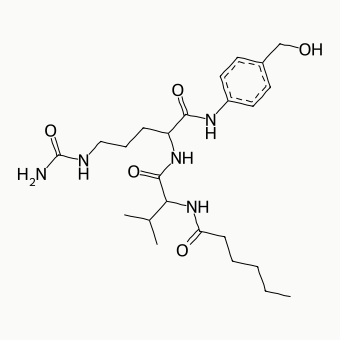 CCCCCC(=O)NC(C(=O)NC(CCCNC(N)=O)C(=O)Nc1ccc(CO)cc1)C(C)C